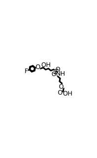 O=C(O)COCCCCNS(=O)(=O)CCCCC(O)COc1ccc(F)cc1